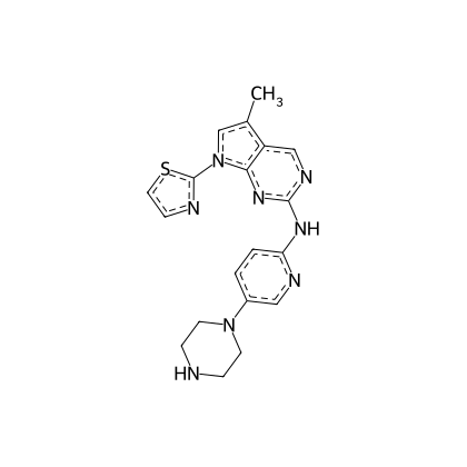 Cc1cn(-c2nccs2)c2nc(Nc3ccc(N4CCNCC4)cn3)ncc12